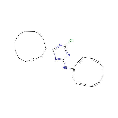 Clc1nc(NC2=C/C=C\C=C/C=C\C=C/C=C\2)nc(C2CCCCCCCCCCC2)n1